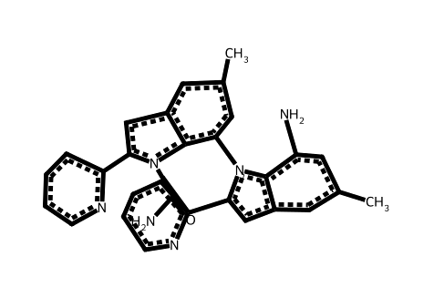 Cc1cc(-n2c(-c3ccccn3)cc3cc(C)cc(N)c32)c2c(c1)cc(-c1ccccn1)n2C(N)=O